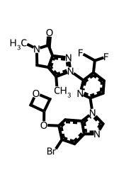 Cc1c2c(nn1-c1nc(-n3cnc4cc(Br)c(OC5COC5)cc43)ccc1C(F)F)C(=O)N(C)C2